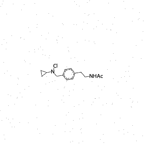 CC(=O)NCCc1ccc(CN(Cl)C2CC2)cc1